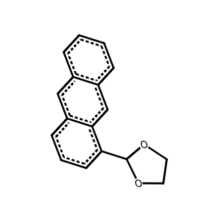 c1ccc2cc3c([C]4OCCO4)cccc3cc2c1